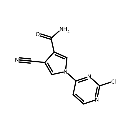 N#Cc1cn(-c2ccnc(Cl)n2)cc1C(N)=O